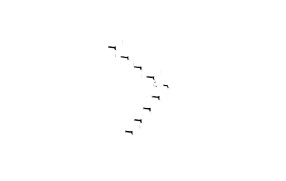 CC(=O)CC(Cl)(Cl)Cl.ClC(Cl)Cl.ClC(Cl)Cl.ClC(Cl)Cl.ClC(Cl)Cl.ClC(Cl)Cl.ClC(Cl)Cl.ClC(Cl)Cl.ClC(Cl)Cl